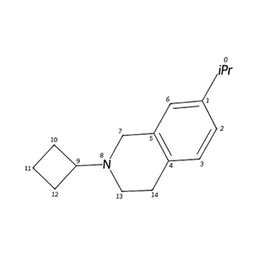 CC(C)c1ccc2c(c1)CN(C1CCC1)CC2